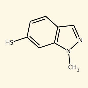 Cn1ncc2ccc(S)cc21